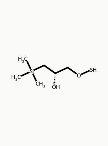 C[Si](C)(C)C[C@@H](O)COS